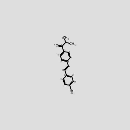 CC(C)C(=O)c1ccc(C=Cc2ccc(Br)cc2)cc1